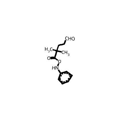 CC(C)(CCC=O)C(=O)ONc1ccccc1